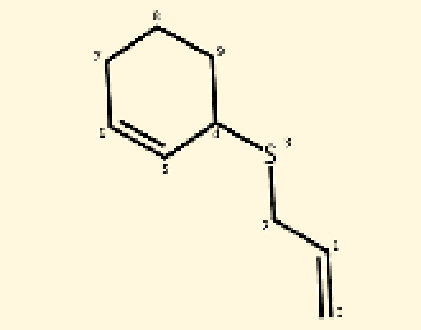 C=CCSC1C=CCCC1